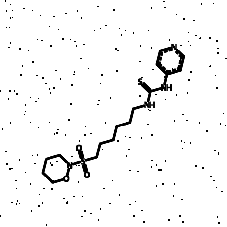 O=S(=O)(CCCCCCNC(=S)Nc1ccncc1)N1CCCCO1